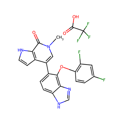 Cn1cc(-c2ccc3[nH]cnc3c2Oc2ccc(F)cc2F)c2cc[nH]c2c1=O.O=C(O)C(F)(F)F